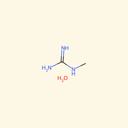 CNC(=N)N.O